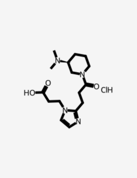 CN(C)[C@H]1CCCN(C(=O)CCc2nccn2CCC(=O)O)C1.Cl